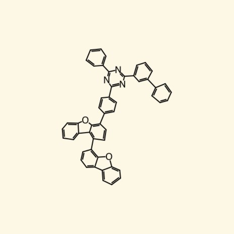 c1ccc(-c2cccc(-c3nc(-c4ccccc4)nc(-c4ccc(-c5ccc(-c6cccc7c6oc6ccccc67)c6c5oc5ccccc56)cc4)n3)c2)cc1